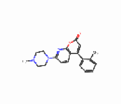 Cc1ccccc1-c1cc(=O)oc2nc(N3CCN(C)CC3)ccc12